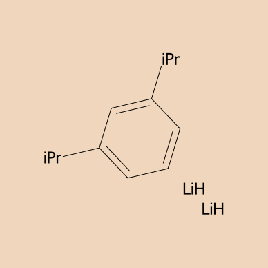 CC(C)c1cccc(C(C)C)c1.[LiH].[LiH]